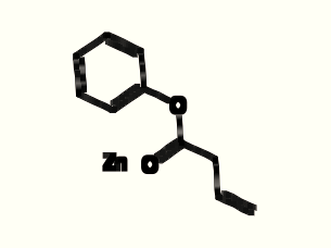 C=CCC(=O)Oc1ccccc1.[Zn]